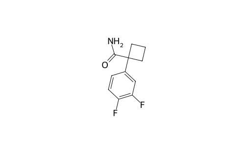 NC(=O)C1(c2ccc(F)c(F)c2)CCC1